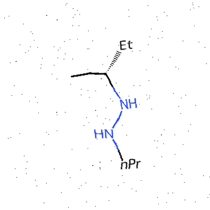 CCCNN[C@H](C)CC